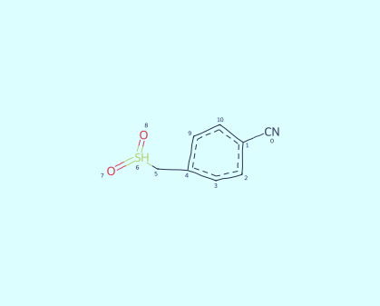 N#Cc1ccc(C[SH](=O)=O)cc1